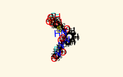 O=C(N[C@H]1C[C@@H]2C[C@@H]2C[C@H]2CC[C@@H](C(=O)N3CC(F)(C(=O)N4CCOCC4)C3)N2C1=O)c1cc2cc(C(F)(F)P(=O)(O)O)ccc2s1